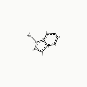 [Ho][n]1nnc2ccccc21